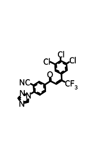 N#Cc1cc(C(=O)C=C(c2cc(Cl)c(Cl)c(Cl)c2)C(F)(F)F)ccc1-n1cncn1